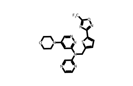 FC(F)(F)c1nc(-c2ccc(CN(c3cnccn3)c3cc(N4CCOCC4)cnn3)s2)no1